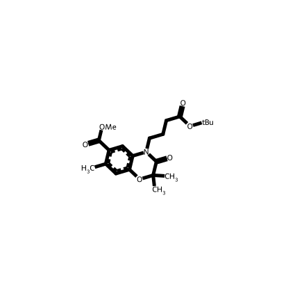 COC(=O)c1cc2c(cc1C)OC(C)(C)C(=O)N2CCCC(=O)OC(C)(C)C